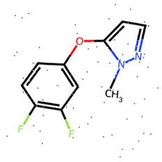 Cn1n[c]cc1Oc1ccc(F)c(F)c1